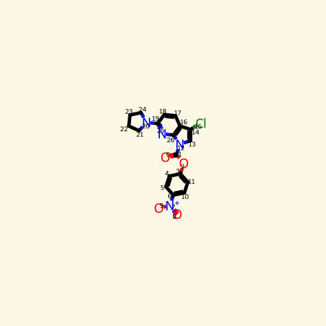 O=C(Oc1ccc([N+](=O)[O-])cc1)n1cc(Cl)c2ccc(N3CCCC3)nc21